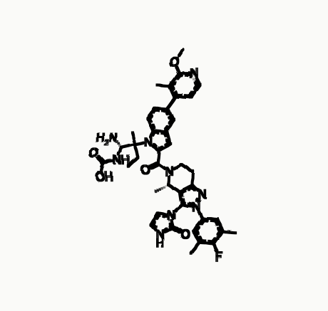 CCC(C)([C@@H](N)NC(=O)O)n1c(C(=O)N2CCc3nn(-c4cc(C)c(F)c(C)c4)c(-n4cc[nH]c4=O)c3[C@@H]2C)cc2cc(-c3ccnc(OC)c3C)ccc21